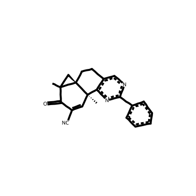 CC12C[C@]13CCc1cnc(-c4ccccc4)nc1[C@@]3(C)C=C(C#N)C2=O